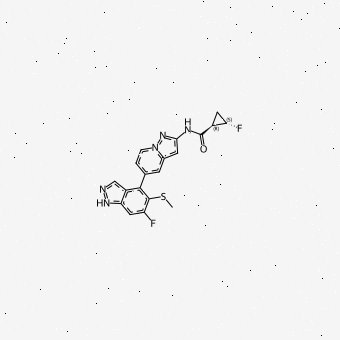 CSc1c(F)cc2[nH]ncc2c1-c1ccn2nc(NC(=O)[C@H]3C[C@@H]3F)cc2c1